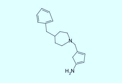 NC1=CC=C(CN2CCC(Cc3ccccc3)CC2)C1